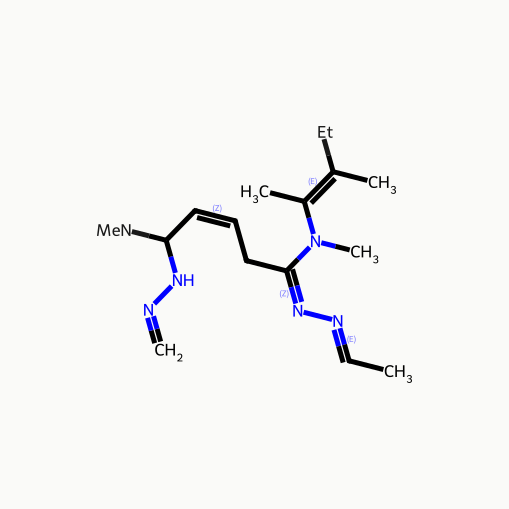 C=NNC(/C=C\C/C(=N/N=C/C)N(C)/C(C)=C(\C)CC)NC